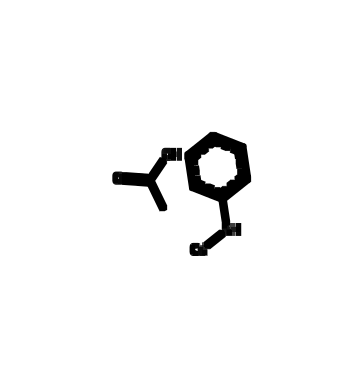 CC(=O)O.[Cd][NH]c1ccccc1